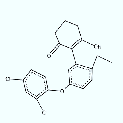 CCc1ccc(Oc2ccc(Cl)cc2Cl)cc1C1=C(O)CCCC1=O